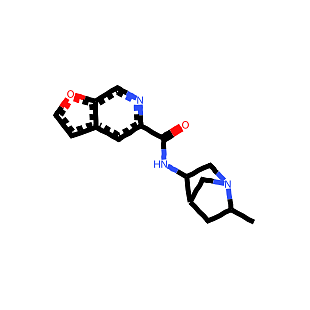 CC1CC2CN1CC2NC(=O)c1cc2ccoc2cn1